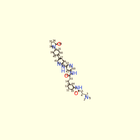 CN(C)CCCC(=O)Nc1cccc(CCC(=O)Nc2cncc(Nc3ccc(-c4ccc(N5CCCC5=O)cc4)cn3)c2)c1